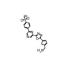 CC(C)S(=O)(=O)c1ccc(-c2cncc(-c3nnc(-c4ccc(CN)s4)o3)n2)cc1